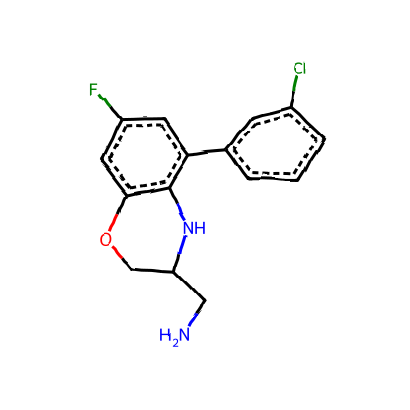 NCC1COc2cc(F)cc(-c3cccc(Cl)c3)c2N1